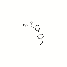 C[S+]([O-])Cc1cccc(-c2ccc(C=O)cc2)c1